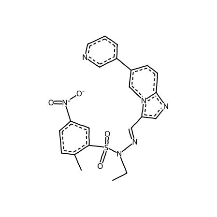 CCN(N=Cc1cnc2ccc(-c3cccnc3)cn12)S(=O)(=O)c1cc([N+](=O)[O-])ccc1C